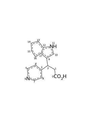 O=C(O)CC(c1ccncc1)c1c[nH]c2ccccc12